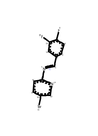 Fc1ccc(/C=N/c2ccc(Br)cn2)cc1F